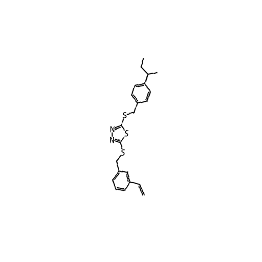 C=Cc1cccc(CSc2nnc(SCc3ccc(C(C)CC)cc3)s2)c1